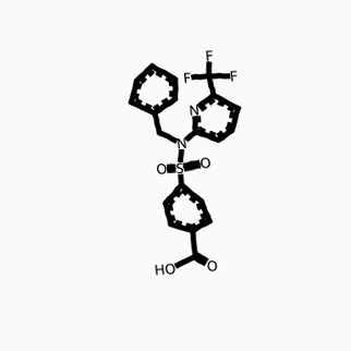 O=C(O)c1ccc(S(=O)(=O)N(Cc2ccccc2)c2cccc(C(F)(F)F)n2)cc1